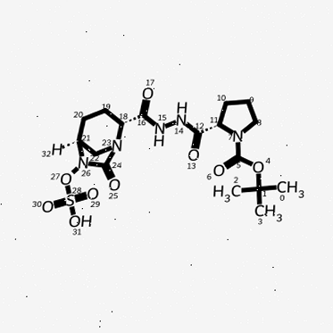 CC(C)(C)OC(=O)N1CCC[C@H]1C(=O)NNC(=O)[C@H]1CC[C@H]2CN1C(=O)N2OS(=O)(=O)O